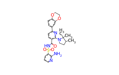 CC1CCN(c2nc(-c3ccc4c(c3)OCCO4)ccc2C(=O)NS(=O)(=O)c2cccnc2N)C1(C)C